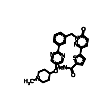 CNC(=O)c1ccc(-c2ccc(=O)n(Cc3cccc(-c4ncc(OC5CCN(C)CC5)cn4)c3)n2)s1